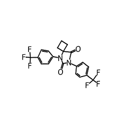 O=C1N(c2ccc(C(F)(F)F)cc2)C(=O)C2(CCC2)N1c1ccc(C(F)(F)F)cc1